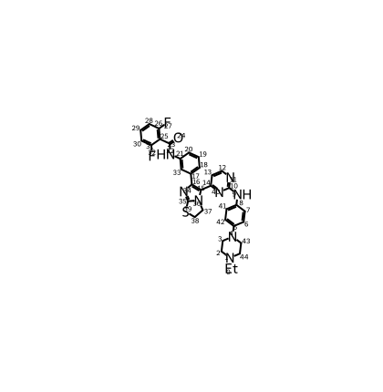 CCN1CCN(c2ccc(Nc3nccc(-c4c(-c5cccc(NC(=O)c6c(F)cccc6F)c5)nc5n4CCS5)n3)cc2)CC1